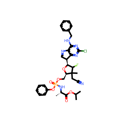 CC(C)OC(=O)[C@H](C)NP(=O)(OC[C@H]1O[C@@H](C2C=Nc3c(NCc4ccccc4)nc(Cl)nc32)C(F)C1(C)CC#N)Oc1ccccc1